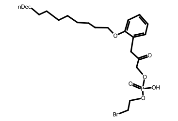 CCCCCCCCCCCCCCCCCCOc1ccccc1CC(=O)COP(=O)(O)OCCBr